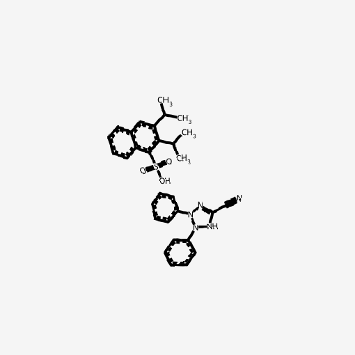 CC(C)c1cc2ccccc2c(S(=O)(=O)O)c1C(C)C.N#CC1=NN(c2ccccc2)N(c2ccccc2)N1